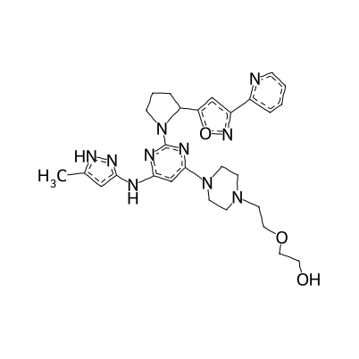 Cc1cc(Nc2cc(N3CCN(CCOCCO)CC3)nc(N3CCCC3c3cc(-c4ccccn4)no3)n2)n[nH]1